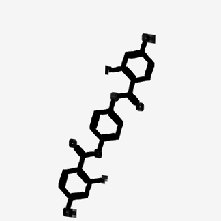 O=C(Oc1ccc(OC(=O)c2ccc(O)cc2F)cc1)c1ccc(O)cc1F